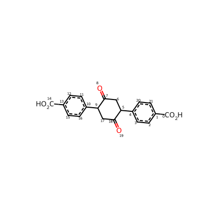 O=C(O)c1ccc(C2CC(=O)C(c3ccc(C(=O)O)cc3)CC2=O)cc1